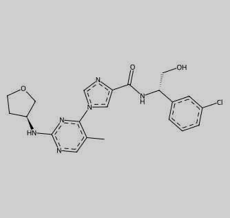 Cc1cnc(N[C@H]2CCOC2)nc1-n1cnc(C(=O)N[C@H](CO)c2cccc(Cl)c2)c1